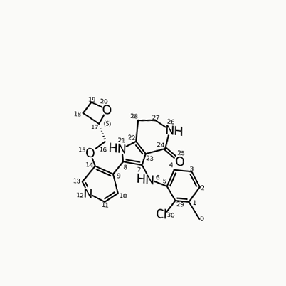 Cc1cccc(Nc2c(-c3ccncc3OC[C@@H]3CCO3)[nH]c3c2C(=O)NCC3)c1Cl